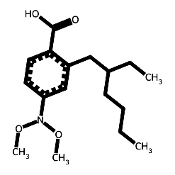 CCCCC(CC)Cc1cc(N(OC)OC)ccc1C(=O)O